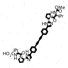 COC(=O)N[C@H](C(=O)N1CCC[C@H]1c1ncc(-c2ccc(C#CC#Cc3ccc(-c4cnc([C@@H]5CCCN5C(=O)[C@@H](NC(=O)O)C(C)C)[nH]4)cc3)cc2)[nH]1)C(C)C